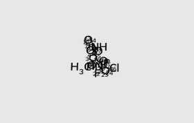 COc1ccc(S(=O)(=O)NC2CCOC2)cc1C(=O)Nc1c(F)ccc(Cl)c1F